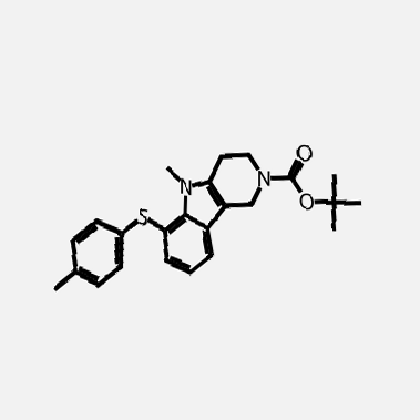 Cc1ccc(Sc2cccc3c4c(n(C)c23)CCN(C(=O)OC(C)(C)C)C4)cc1